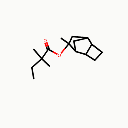 CCC(C)(C)C(=O)OC1(C)CC2CC1C1CCC21